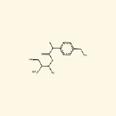 CC(=O)N(SC(=O)C(C)c1ccc(CC(C)C)cc1)C(CS)C(=O)O